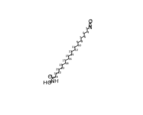 O=C=NCCCCCCCCCCCCCCCCCCCCCCC(=O)NO